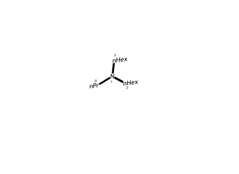 [CH2]CCN(CCCCCC)CCCCCC